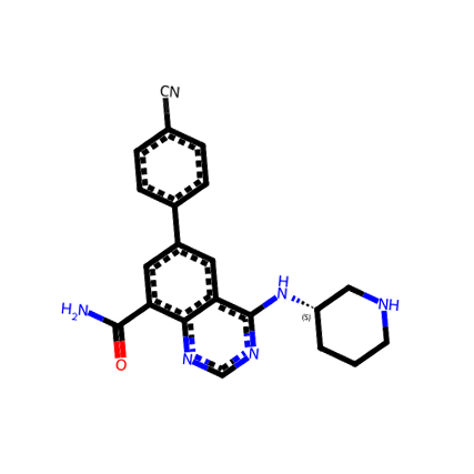 N#Cc1ccc(-c2cc(C(N)=O)c3ncnc(N[C@H]4CCCNC4)c3c2)cc1